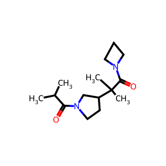 CC(C)C(=O)N1CCC(C(C)(C)C(=O)N2CCC2)C1